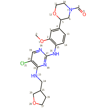 COc1cc(C2CN(C=O)CCO2)ccc1Nc1ncc(Cl)c(NCC2CCOC2)n1